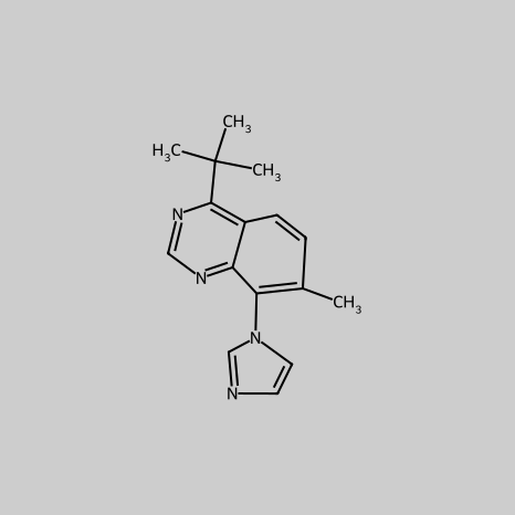 Cc1ccc2c(C(C)(C)C)ncnc2c1-n1ccnc1